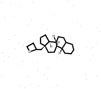 C1CC[C@H]2C(C1)CC[C@@H]1[C@@H]2CC[C@]2(CC3CCO3)CCC[C@@H]12